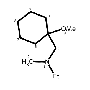 CCN(C)CC1(OC)CCCCC1